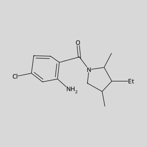 CCC1C(C)CN(C(=O)c2ccc(Cl)cc2N)C1C